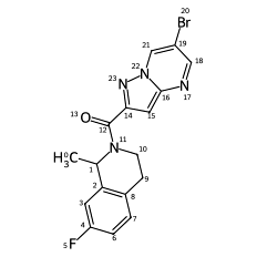 CC1c2cc(F)ccc2CCN1C(=O)c1cc2ncc(Br)cn2n1